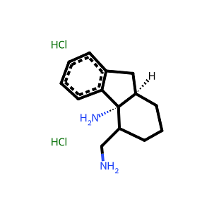 Cl.Cl.NCC1CCC[C@@H]2Cc3ccccc3[C@]12N